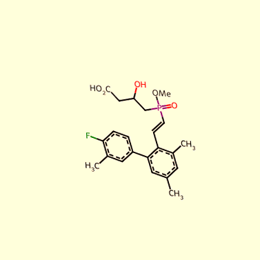 COP(=O)(C=Cc1c(C)cc(C)cc1-c1ccc(F)c(C)c1)CC(O)CC(=O)O